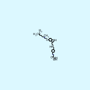 CC(C)=CCC/C(C)=C/COc1ccc2[nH]cc(CCNCc3ccc(/C=C/C(=O)NO)cc3)c2c1